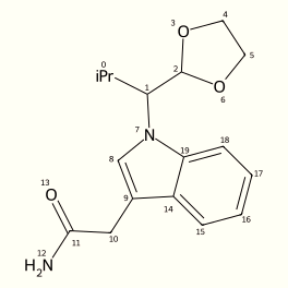 CC(C)C(C1OCCO1)n1cc(CC(N)=O)c2ccccc21